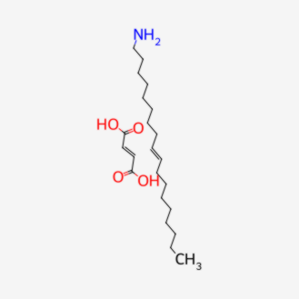 CCCCCCCCC=CCCCCCCCCN.O=C(O)C=CC(=O)O